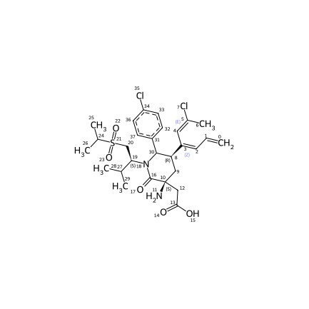 C=C/C=C(\C=C(/C)Cl)[C@H]1C[C@](N)(CC(=O)O)C(=O)N([C@H](CS(=O)(=O)C(C)C)C(C)C)C1c1ccc(Cl)cc1